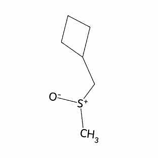 C[S+]([O-])CC1CCC1